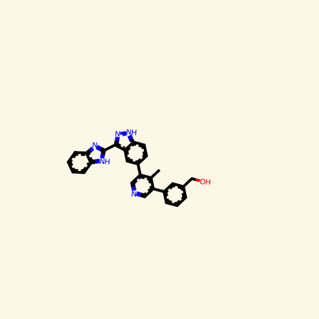 Cc1c(-c2cccc(CO)c2)cncc1-c1ccc2[nH]nc(-c3nc4ccccc4[nH]3)c2c1